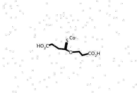 O=C(O)CCOC(=S)CCC(=O)O.[Co]